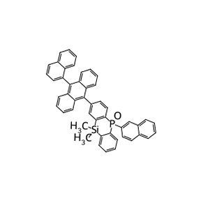 C[Si]1(C)c2ccccc2P(=O)(c2ccc3ccccc3c2)c2ccc(-c3c4ccccc4c(-c4cccc5ccccc45)c4ccccc34)cc21